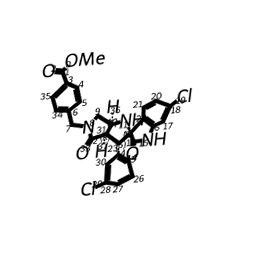 COC(=O)c1ccc(CN2C[C@H]3N[C@@]4(C(=O)Nc5cc(Cl)ccc54)[C@H](c4cccc(Cl)c4)[C@H]3C2=O)cc1